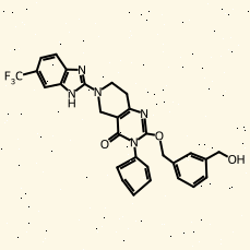 O=c1c2c(nc(OCc3cccc(CO)c3)n1-c1ccccc1)CCN(c1nc3ccc(C(F)(F)F)cc3[nH]1)C2